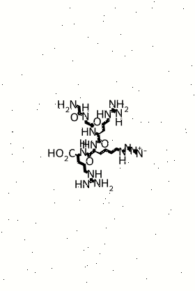 [N-]=[N+]=NNCCCC[C@H](NC(=O)[C@H](CCCNC(=N)N)NC(=O)CNC(=O)CN)C(=O)N[C@@H](CCCNC(=N)N)C(=O)O